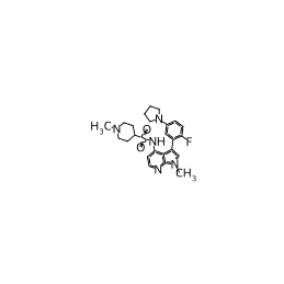 CN1CCC(S(=O)(=O)Nc2ccnc3c2c(-c2cc(N4CCCC4)ccc2F)cn3C)CC1